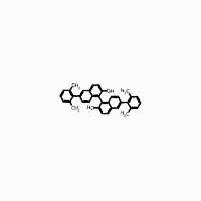 Cc1cccc(C)c1-c1ccc2c(-c3c(O)ccc4cc(-c5c(C)cccc5C)ccc34)c(O)ccc2c1